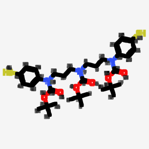 CC(C)(C)OC(=O)N(CCCN(C(=O)OC(C)(C)C)c1ccc(S)cc1)CCCN(C(=O)OC(C)(C)C)c1ccc(S)cc1